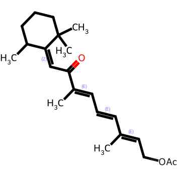 CC(=O)OC/C=C(C)/C=C/C=C(\C)C(=O)/C=C1/C(C)CCCC1(C)C